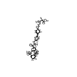 COC(=O)[C@H](C)NCCCOc1ccc(-c2ncc(CNC(=O)c3ccc4c(c3)NC(=O)c3ccccc3S4(=O)=O)s2)cc1